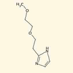 COCCOCCc1ncc[nH]1